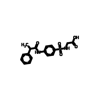 CC(C(=O)Nc1ccc(S(=O)(=O)NCC(=O)O)cc1)c1ccccc1